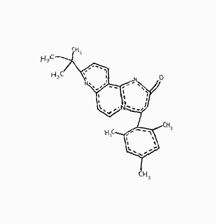 Cc1cc(C)c(-c2cc(=O)nc3c4ccc(C(C)(C)C)nc4ccn23)c(C)c1